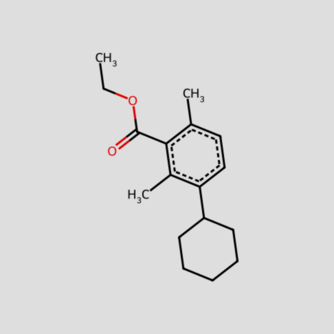 CCOC(=O)c1c(C)ccc(C2CCCCC2)c1C